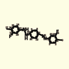 Cc1ccc(N=Nc2ccc(NNc3ccc(C)c(F)c3)cc2)cc1F